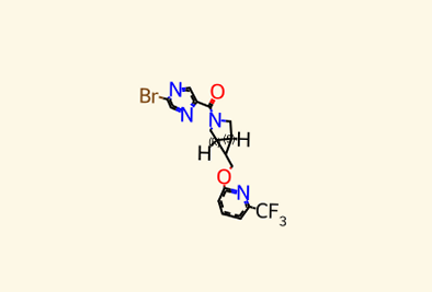 O=C(c1cnc(Br)cn1)N1C[C@@H]2C(COc3cccc(C(F)(F)F)n3)[C@@H]2C1